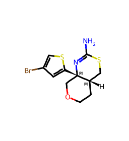 NC1=N[C@@]2(c3cc(Br)cs3)COCC[C@H]2CS1